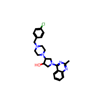 Cc1nc(N2CC(O)C(N3CCN(Cc4ccc(Cl)cc4)CC3)C2)c2ccccc2n1